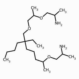 CCCCC(CC)(CCCC(C)OCC(C)N)COCC(C)OCC(C)N